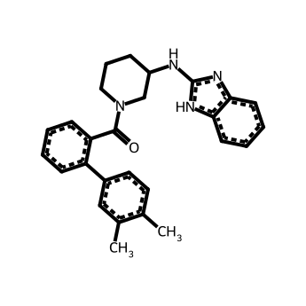 Cc1ccc(-c2ccccc2C(=O)N2CCCC(Nc3nc4ccccc4[nH]3)C2)cc1C